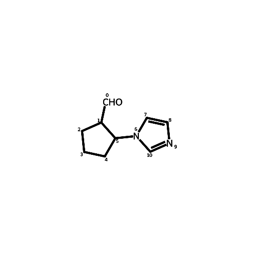 O=CC1CCCC1n1ccnc1